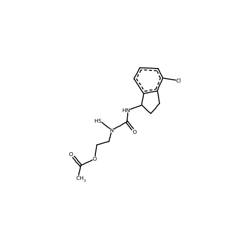 CC(=O)OCCN(S)C(=O)NC1CCc2c(Cl)cccc21